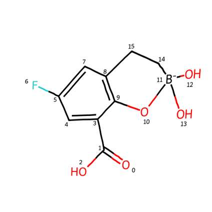 O=C(O)c1cc(F)cc2c1O[B-](O)(O)CC2